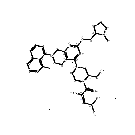 Cc1cccc2cccc(N3CCc4c(nc(OCC5CCCN5C)nc4N4CCN(C(=O)/C(F)=C\C(F)F)C(CC#N)C4)C3)c12